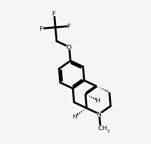 CN1CC[C@@]23CCCC[C@@H]2[C@@H]1Cc1ccc(OCC(F)(F)F)cc13